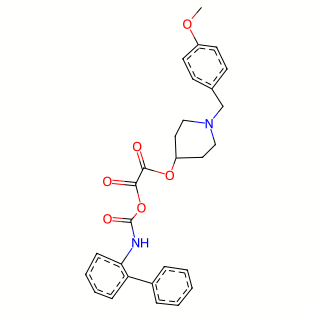 COc1ccc(CN2CCC(OC(=O)C(=O)OC(=O)Nc3ccccc3-c3ccccc3)CC2)cc1